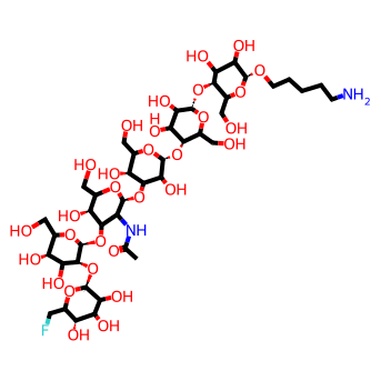 CC(=O)NC1C(O[C@@H]2OC(CO)[C@H](O)C(O)[C@@H]2O[C@@H]2OC(CF)[C@@H](O)C(O)C2O)[C@@H](O)C(CO)O[C@H]1OC1C(O)[C@@H](O[C@H]2C(CO)O[C@@H](O[C@@H]3C(CO)O[C@@H](OCCCCCN)C(O)C3O)C(O)C2O)OC(CO)[C@@H]1O